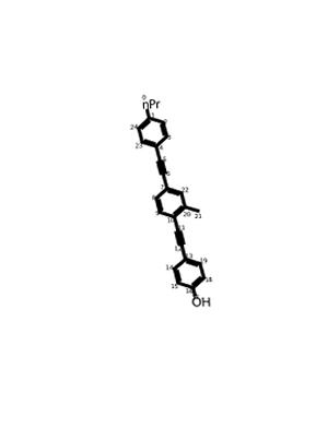 CCCc1ccc(C#Cc2ccc(C#Cc3ccc(O)cc3)c(C)c2)cc1